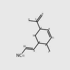 C=C(C)C1C=CC(C)C(C=CC#N)C1